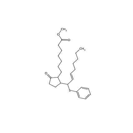 CCCCC/C=C/C(Sc1ccccc1)C1CCC(=O)C1CCCCCCC(=O)OC